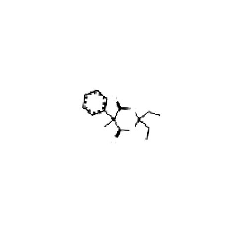 CCC1(CC)OC(=O)C(C)(c2ccccc2)C(=O)O1